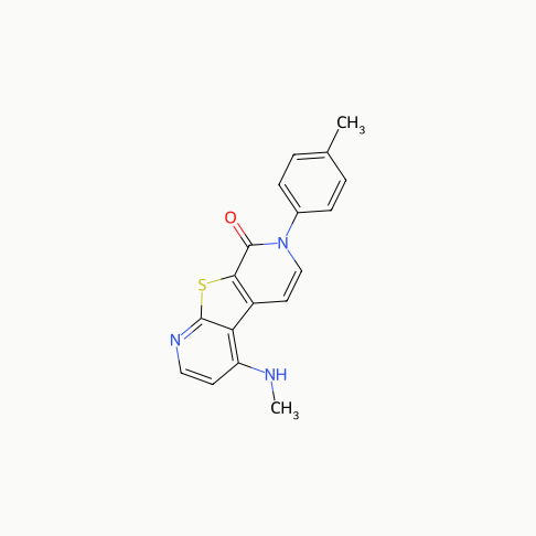 CNc1ccnc2sc3c(=O)n(-c4ccc(C)cc4)ccc3c12